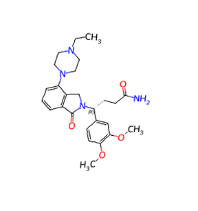 CCN1CCN(c2cccc3c2CN([C@H](CCC(N)=O)c2ccc(OC)c(OC)c2)C3=O)CC1